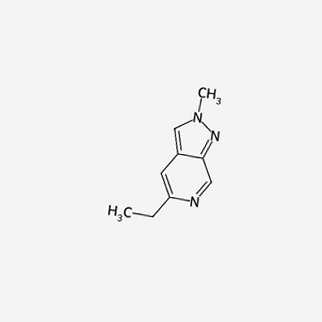 CCc1cc2cn(C)nc2cn1